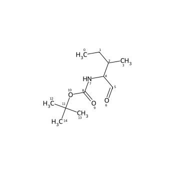 CCC(C)C([C]=O)NC(=O)OC(C)(C)C